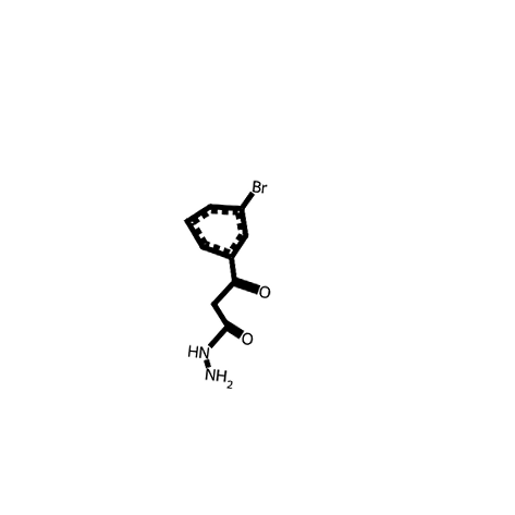 NNC(=O)CC(=O)c1cccc(Br)c1